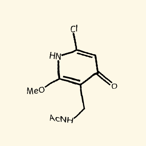 COc1[nH]c(Cl)cc(=O)c1CNC(C)=O